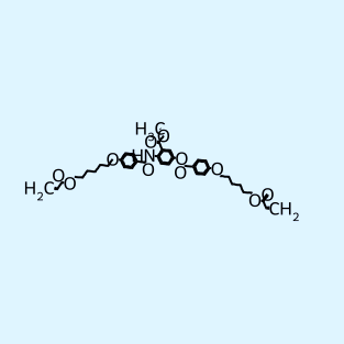 C=CC(=O)OCCCCCCOc1ccc(C(=O)Nc2ccc(OC(=O)c3ccc(OCCCCCCOC(=O)C=C)cc3)cc2C(=O)OC)cc1